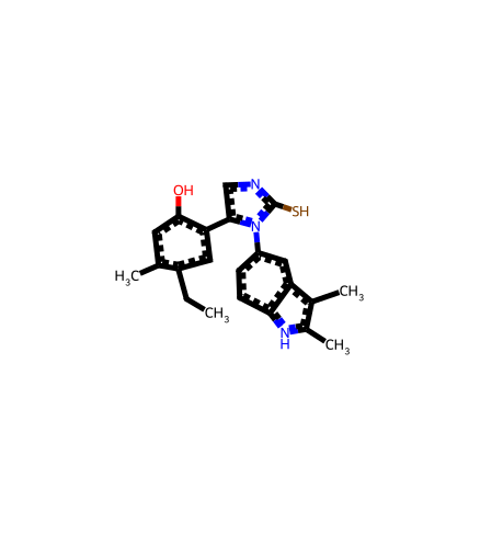 CCc1cc(-c2cnc(S)n2-c2ccc3[nH]c(C)c(C)c3c2)c(O)cc1C